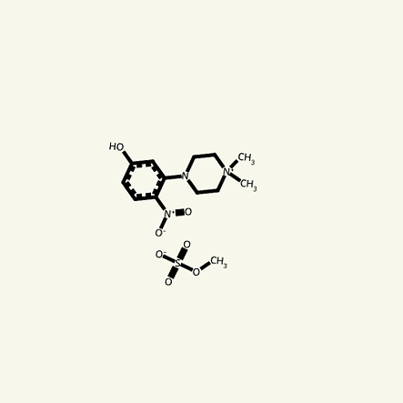 COS(=O)(=O)[O-].C[N+]1(C)CCN(c2cc(O)ccc2[N+](=O)[O-])CC1